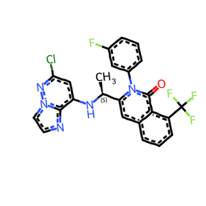 C[C@H](Nc1cc(Cl)nn2ccnc12)c1cc2cccc(C(F)(F)F)c2c(=O)n1-c1cccc(F)c1